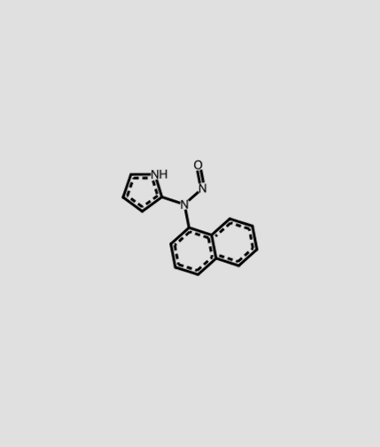 O=NN(c1ccc[nH]1)c1cccc2ccccc12